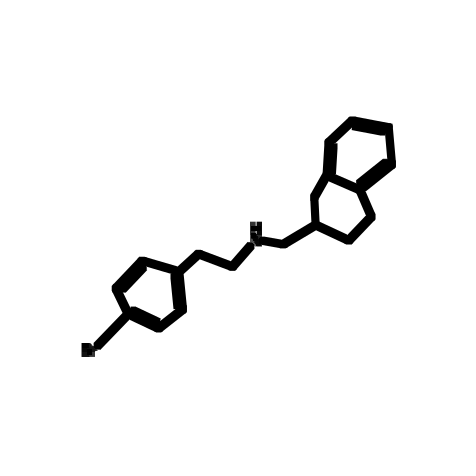 Brc1ccc(CCNCC2CCc3ccccc3C2)cc1